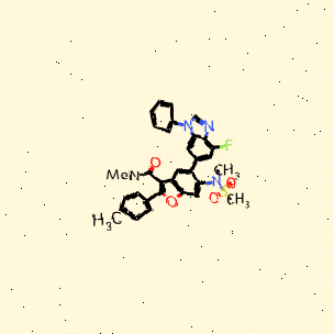 CNC(=O)c1c(-c2ccc(C)cc2)oc2cc(N(C)S(C)(=O)=O)c(-c3cc(F)c4ncn(-c5ccccc5)c4c3)cc12